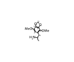 COc1cc(CC(C)N)c(OC)c2c1OCO2